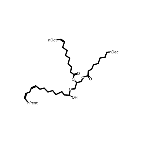 CCCCC/C=C\C/C=C\CCCCCCC[C@H](O)OCC(COC(=O)CCCCCCCCCCCCCCCCC)OC(=O)CCCCCCC/C=C\CCCCCCCC